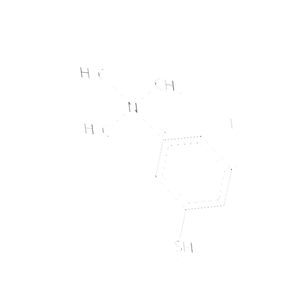 C[N+](C)(C)c1cccc(S)c1.[I-]